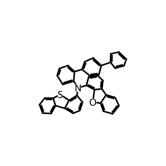 c1ccc(-c2ccc(-c3ccccc3N(c3cccc4c3oc3ccccc34)c3cccc4c3sc3ccccc34)cc2)cc1